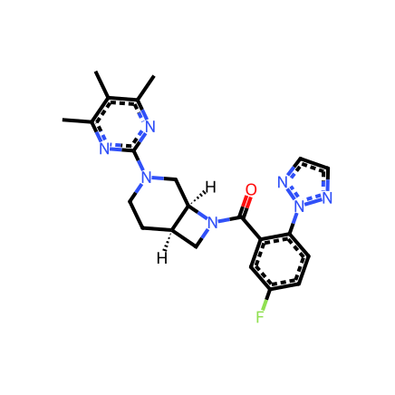 Cc1nc(N2CC[C@@H]3CN(C(=O)c4cc(F)ccc4-n4nccn4)[C@@H]3C2)nc(C)c1C